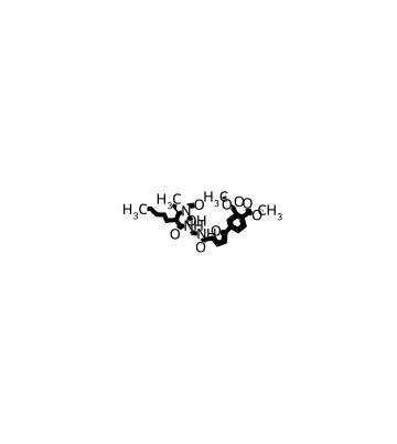 CCCCCC(C(=O)NCNC(=O)c1ccc(-c2ccc(C(=O)OC)c(C(=O)OC)c2)o1)[C@@H](CC)N(O)C=O